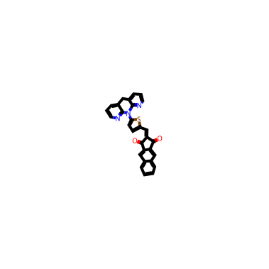 O=C1C(=Cc2ccc(N3c4ncccc4Cc4cccnc43)s2)C(=O)c2cc3ccccc3cc21